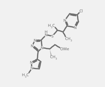 COC[C@H](C)n1c(NSC(C)C(C)c2ncc(Cl)cn2)nnc1-c1ccn(C)n1